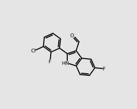 O=Cc1c(-c2cccc(Cl)c2F)[nH]c2ccc(F)cc12